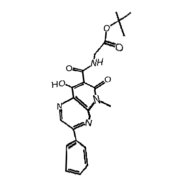 Cn1c(=O)c(C(=O)NCC(=O)OC(C)(C)C)c(O)c2ncc(-c3ccccc3)nc21